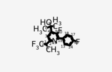 CC(c1cc(C(C)(C)O)c(F)c(-c2ccc(F)cc2)n1)C(F)(F)F